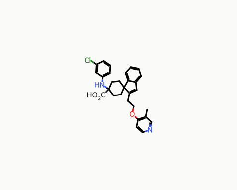 Cc1cnccc1OCCC1=Cc2ccccc2C12CCC(Nc1cccc(Cl)c1)(C(=O)O)CC2